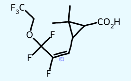 CC1(C)C(/C=C(/F)C(F)(F)OCC(F)(F)F)C1C(=O)O